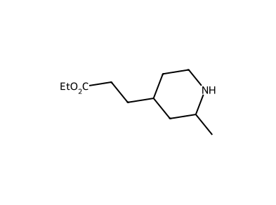 CCOC(=O)CCC1CCNC(C)C1